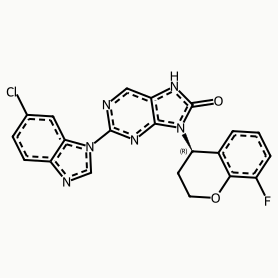 O=c1[nH]c2cnc(-n3cnc4ccc(Cl)cc43)nc2n1[C@@H]1CCOc2c(F)cccc21